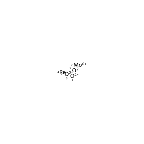 [Mo+6].[O-2].[O-2].[O-2].[Re]